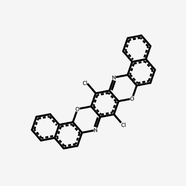 Clc1c2c(c(Cl)c3c1=Nc1c(ccc4ccccc14)O3)=Nc1ccc3ccccc3c1O2